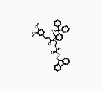 COc1ccc(CCC(=O)N(CCNC(=O)OCC2c3ccccc3-c3ccccc32)CCNC(c2ccccc2)(c2ccccc2)c2ccccc2)cc1OC